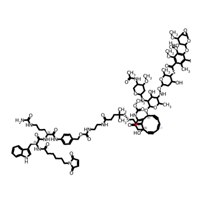 COC(=O)NC1=C2/C(=C\CSSC(C)(C)CCC(=O)NCCNC(=O)OCc3ccc(NC(=O)[C@H](CCCNC(N)=O)NC(=O)[C@H](Cc4c[nH]c5ccccc45)NC(=O)CCCCCN4C(=O)C=CC4=O)cc3)[C@](O)(C#C/C=C\C#C[C@@H]2OC2OC(C)C(NOC3CC(O)C(SC(=O)c4c(C)c(I)c(OC5OC6OC6C(OC)C5O)c(OC)c4OC)C(C)O3)C(O)C2OC2CC(OC)C(NC(C)=O)CO2)CC1=O